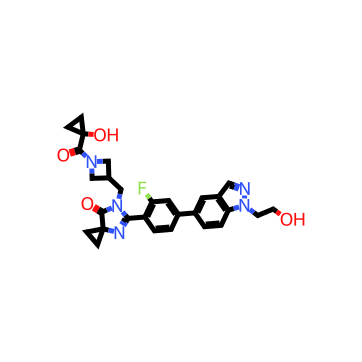 O=C(N1CC(CN2C(=O)C3(CC3)N=C2c2ccc(-c3ccc4c(cnn4CCO)c3)cc2F)C1)C1(O)CC1